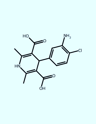 CC1=C(C(=O)O)C(c2ccc(Cl)c(N)c2)C(C(=O)O)=C(C)N1